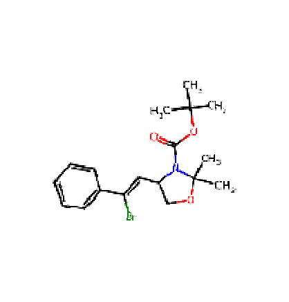 CC(C)(C)OC(=O)N1C(C=C(Br)c2ccccc2)COC1(C)C